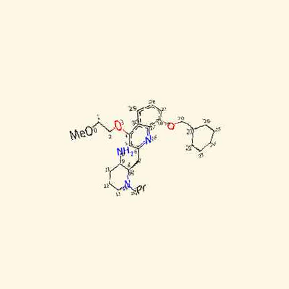 COCCOc1cc(C[C@@H]2C(N)CCCN2C(C)C)nc2c(OCC3CCCCC3)cccc12